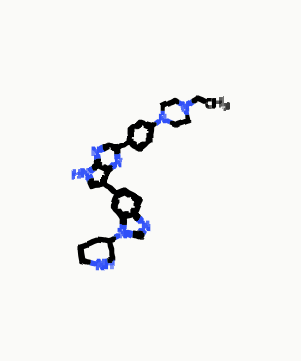 CCN1CCN(c2ccc(-c3cnc4[nH]cc(-c5ccc6ncn(C7CCCNC7)c6c5)c4n3)cc2)CC1